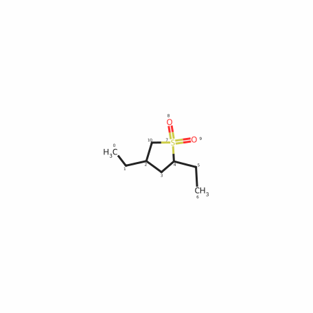 CCC1CC(CC)S(=O)(=O)C1